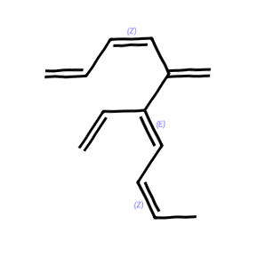 C=C/C=C\C(=C)/C(C=C)=C/C=C\C